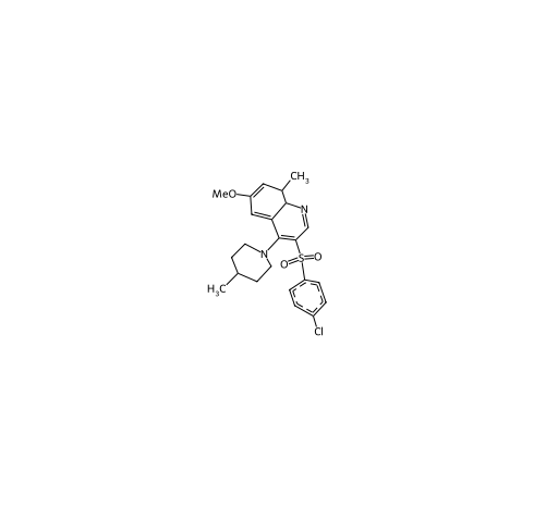 COC1=CC(C)C2N=CC(S(=O)(=O)c3ccc(Cl)cc3)=C(N3CCC(C)CC3)C2=C1